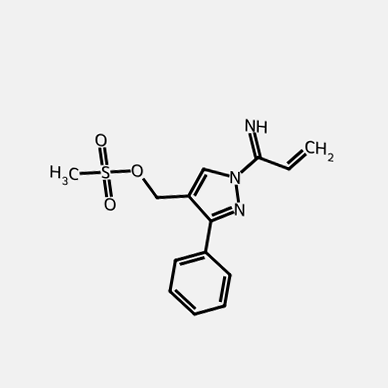 C=CC(=N)n1cc(COS(C)(=O)=O)c(-c2ccccc2)n1